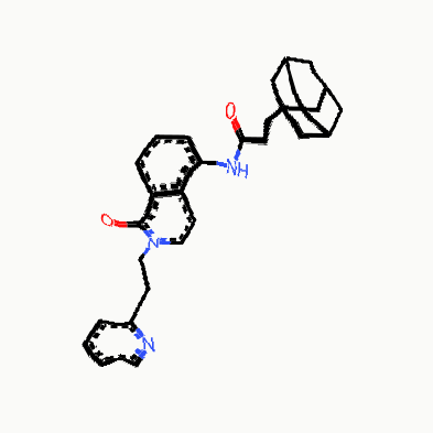 O=C(CC12CC3CC(CC(C3)C1)C2)Nc1cccc2c(=O)n(CCc3ccccn3)ccc12